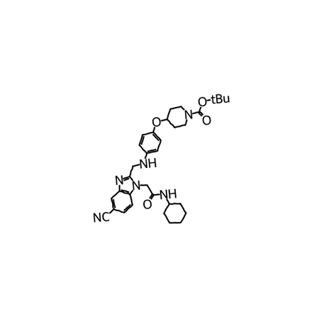 CC(C)(C)OC(=O)N1CCC(Oc2ccc(NCc3nc4cc(C#N)ccc4n3CC(=O)NC3CCCCC3)cc2)CC1